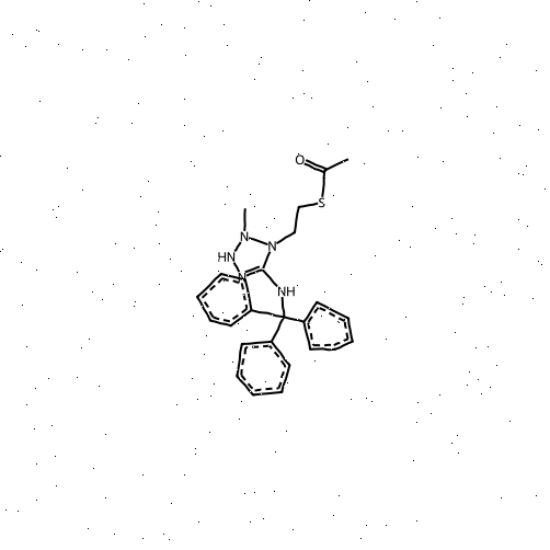 CC(=O)SCCN1C(NC(c2ccccc2)(c2ccccc2)c2ccccc2)=NNN1C